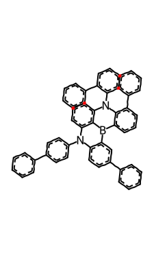 c1ccc(-c2ccc(N3c4ccc(-c5ccccc5)cc4B4c5cccc(-c6ccccc6)c5N(c5ccccc5-c5ccccc5)c5cccc3c54)cc2)cc1